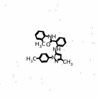 Cc1ccc(-n2nc(C)cc2Nc2ccccc2C(=O)Nc2ccccc2C)cc1